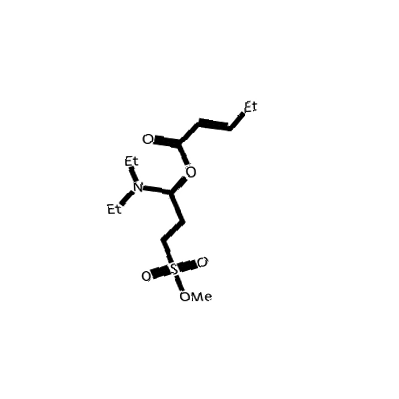 CCC=CC(=O)OC(CCS(=O)(=O)OC)N(CC)CC